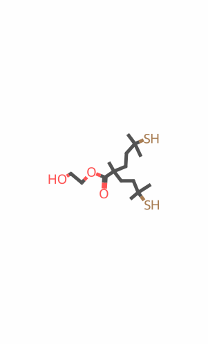 CC(C)(S)CCC(C)(CCC(C)(C)S)C(=O)OCCO